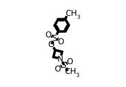 Cc1ccc(S(=O)(=O)OC2CN(S(C)(=O)=O)C2)cc1